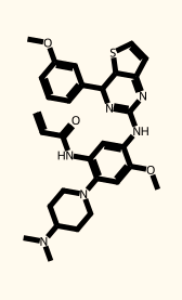 C=CC(=O)Nc1cc(NC2=NC(c3cccc(OC)c3)C3SC=CC3=N2)c(OC)cc1N1CCC(N(C)C)CC1